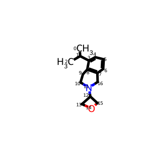 CC(C)c1cccc2c1CCN(C1COC1)C2